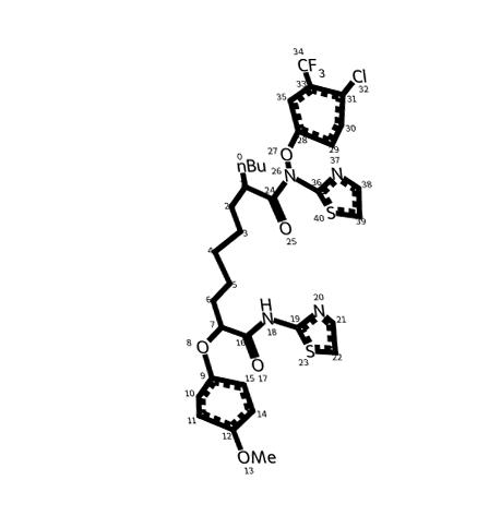 CCCCC(CCCCCC(Oc1ccc(OC)cc1)C(=O)Nc1nccs1)C(=O)N(Oc1ccc(Cl)c(C(F)(F)F)c1)c1nccs1